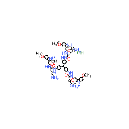 COc1ccc2[nH]c(C)c(CC(=O)N[C@H](CCCCN)C(=O)Nc3ccc(C(c4ccc(NC(=O)[C@@H](CCCCN)NC(=O)Cc5c(C)[nH]c6ccc(OC)cc56)cc4)c4ccc(NC(=O)[C@@H](CCCCN)NC(=O)Cc5c(C)[nH]c6ccc(OC)cc56)cc4)cc3)c2c1.Cl